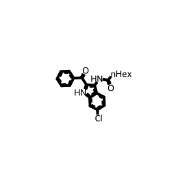 CCCCCCC(=O)Nc1c(C(=O)c2ccccc2)[nH]c2cc(Cl)ccc12